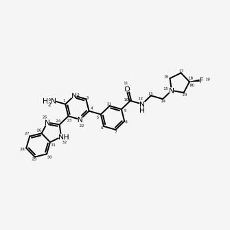 Nc1ncc(-c2cccc(C(=O)NCCN3CC[C@@H](F)C3)c2)nc1-c1nc2ccccc2[nH]1